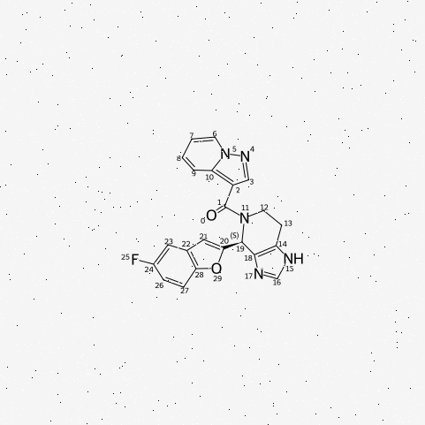 O=C(c1cnn2ccccc12)N1CCc2[nH]cnc2[C@H]1c1cc2cc(F)ccc2o1